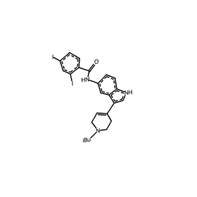 CCC(C)N1CC=C(c2c[nH]c3ccc(NC(=O)c4ccc(I)cc4I)cc23)CC1